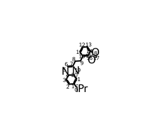 CC(C)c1ccc2ncc(CCc3cccc4c3OCO4)nc2c1